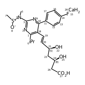 CC(C)c1nc(N(C)[S+](C)[O-])nc(-c2ccc(F)cc2)c1C=C[C@@H](O)C[C@@H](O)CC(=O)O.[CaH2]